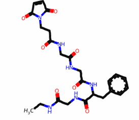 CCNC(=O)CNC(=O)C(Cc1ccccc1)NC(=O)CNC(=O)CNC(=O)CCN1C(=O)C=CC1=O